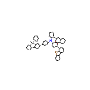 CC1(c2ccccc2)c2ccccc2-c2ccc(-c3ccc(N(c4ccc(-c5cccc6c5sc5ccccc56)cc4)c4ccccc4-c4ccc5ccccc5c4)cc3)cc21